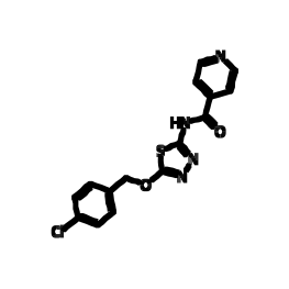 O=C(Nc1nnc(OCc2ccc(Cl)cc2)s1)c1ccncc1